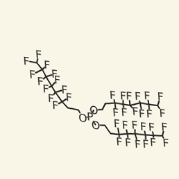 FC(F)C(F)(F)C(F)(F)C(F)(F)C(F)(F)C(F)(F)CCOP(OCCC(F)(F)C(F)(F)C(F)(F)C(F)(F)C(F)(F)C(F)F)OCCC(F)(F)C(F)(F)C(F)(F)C(F)(F)C(F)(F)C(F)F